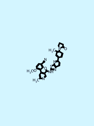 COc1ccc(C#N)cc1-c1cc(C)ncc1C(=O)Nc1nc2ccc(-c3ccc(N4CCCC4=O)c(C)c3)nc2s1